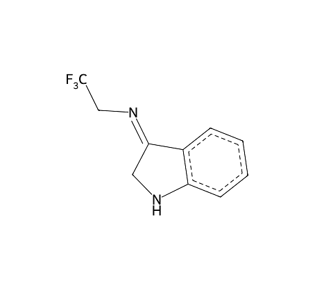 FC(F)(F)CN=C1CNc2ccccc21